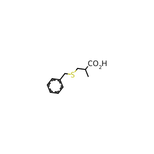 CC(CSCc1ccccc1)C(=O)O